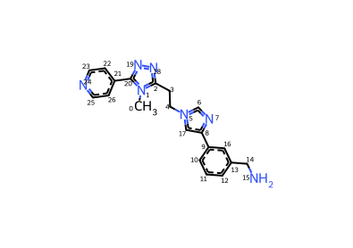 Cn1c(CCn2cnc(-c3cccc(CN)c3)c2)nnc1-c1ccncc1